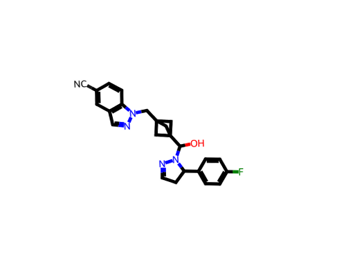 N#Cc1ccc2c(cnn2CC23CC(C(O)N4N=CCC4c4ccc(F)cc4)(C2)C3)c1